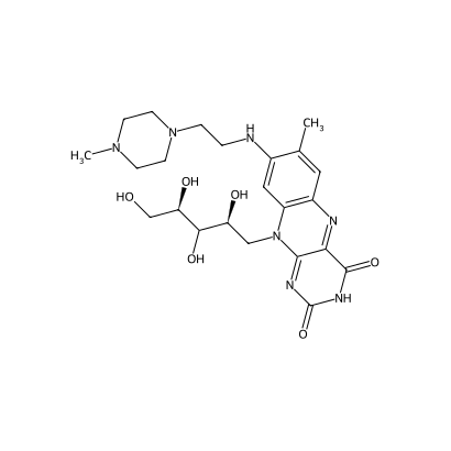 Cc1cc2nc3c(=O)[nH]c(=O)nc-3n(C[C@H](O)C(O)[C@H](O)CO)c2cc1NCCN1CCN(C)CC1